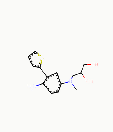 CN(CC(O)CO)c1ccc(N)c(-c2cccs2)c1